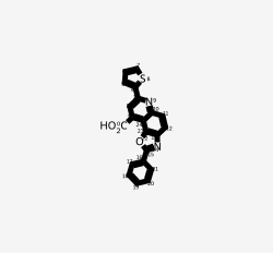 O=C(O)c1cc(-c2cccs2)nc2ccc3nc(-c4ccccc4)oc3c12